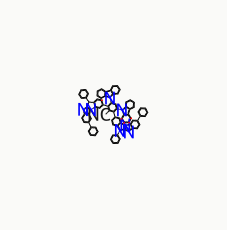 N#Cc1c(-c2ccc3c(c2)-n2c(nc4ccc(-c5ccccc5)cc42)C3c2ccccc2)c(-n2c3ccccc3c3ccccc32)cc(-n2c3ccccc3c3ccccc32)c1-c1ccc2c(c1)n1c3cc(-c4ccccc4)ccc3nc1n2-c1ccccc1